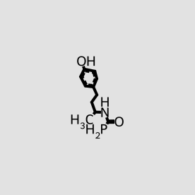 CC(CCc1ccc(O)cc1)NC(=O)P